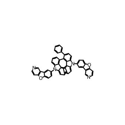 c1ccc(-c2ccc3c(c2-c2cccc4c2c2ccccc2n4-c2ccc4oc5ccncc5c4c2)c2ccccc2n3-c2ccc3oc4ccncc4c3c2)cc1